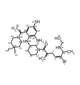 C=C(C/C=C(/Br)C(C)NCO)C(=O)N1CCC[C@@H](Nc2c(N)cc(S)cc2C(=C)N2CCC(F)(F)CC2)C1